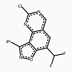 CC(C)c1noc2c(C(F)F)cc3cnc(Cl)nc3c12